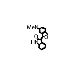 CNc1ccc2c(c1)/C(=C1\C(=O)Nc3ccccc31)OC2